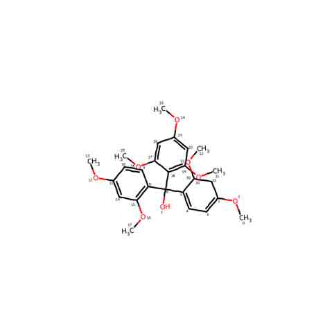 COC1=CC=C(C(O)(c2ccc(OC)cc2OC)c2c(OC)cc(OC)cc2OC)C(OC)C1